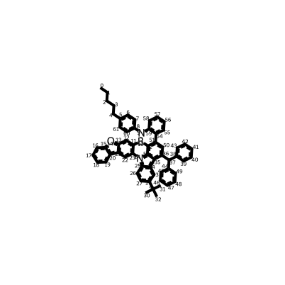 CCCCCc1ccc(N2B3c4cc5oc6ccccc6c5cc4-n4c5ccc(C(C)(C)C)cc5c5c(C(c6ccccc6)c6ccccc6)cc(c3c54)-c3ccccc32)cc1